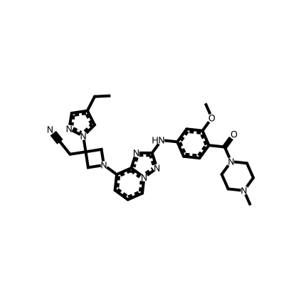 CCc1cnn(C2(CC#N)CN(c3cccn4nc(Nc5ccc(C(=O)N6CCN(C)CC6)c(OC)c5)nc34)C2)c1